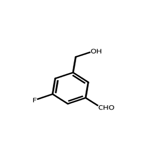 O=Cc1cc(F)cc(CO)c1